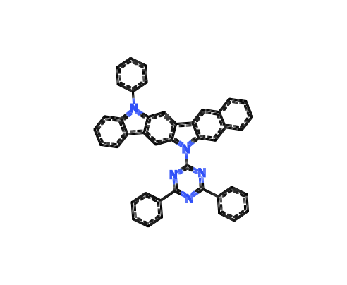 c1ccc(-c2nc(-c3ccccc3)nc(-n3c4cc5ccccc5cc4c4cc5c(cc43)c3ccccc3n5-c3ccccc3)n2)cc1